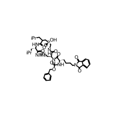 CNC(=O)[C@H](CC(C)C)NC(=O)C(CC(C)C)CP(=O)(O)CNC(=O)[C@H](CC(C)C)NC(=O)[C@H](CCCCN1C(=O)c2ccccc2C1=O)NC(=O)OCc1ccccc1